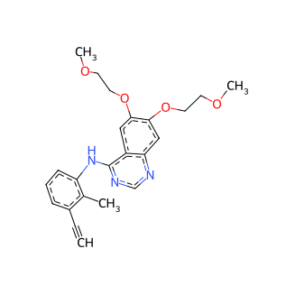 C#Cc1cccc(Nc2ncnc3cc(OCCOC)c(OCCOC)cc23)c1C